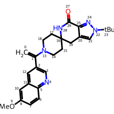 C=C(c1cnc2ccc(OC)cc2c1)N1CCC2(CC1)Cc1cn(C(C)(C)C)nc1C(=O)N2